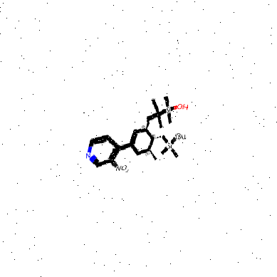 C[C@H]1CC(c2ccncc2[N+](=O)[O-])=C[C@@H](CC(C)(C)[Si](C)(C)O)[C@@H]1C[Si](C)(C)C(C)(C)C